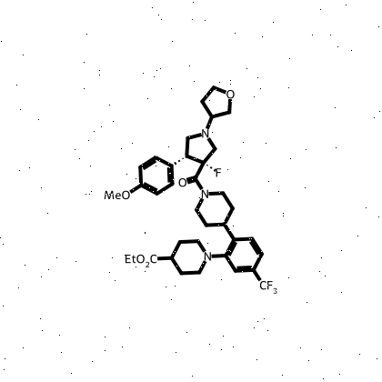 CCOC(=O)C1CCN(c2cc(C(F)(F)F)ccc2C2CCN(C(=O)[C@]3(F)CN(C4CCOC4)C[C@H]3c3ccc(OC)cc3)CC2)CC1